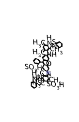 Cc1cc(C)c(Nc2nc3ccccc3s2)c(C)c1Nc1ccc2c(-c3ccccc3S(=O)(=O)O)c3cc/c(=N\c4c(C)c(Nc5nc6ccccc6s5)c(C)c(S(=O)(=O)O)c4C)cc-3oc2c1